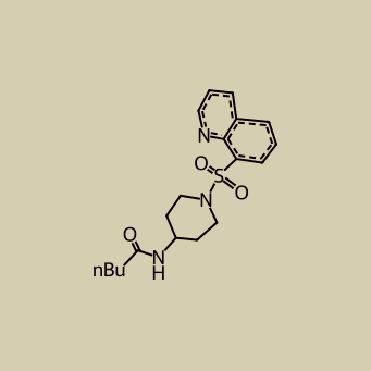 CCCCC(=O)NC1CCN(S(=O)(=O)c2cccc3cccnc23)CC1